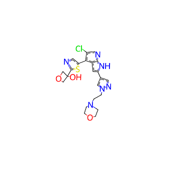 OC1(c2ncc(-c3c(Cl)cnc4[nH]c(-c5cnn(CCN6CCOCC6)c5)cc34)s2)COC1